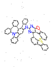 c1ccc2c(c1)-c1ccccc1-n1c3ccccc3c3cc4c(c-2c31)c1ccccc1n4-c1nc(-c2cccc3c2sc2ccccc23)c2c(n1)oc1ccccc12